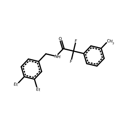 CCc1ccc(CNC(=O)C(F)(F)c2cccc(C)c2)cc1CC